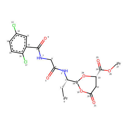 CC(C)C[C@H](NC(=O)CNC(=O)c1cc(Cl)ccc1Cl)B1OC(=O)C[C@@H](C(=O)OC(C)C)O1